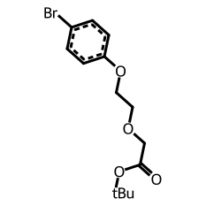 CC(C)(C)OC(=O)COCCOc1ccc(Br)cc1